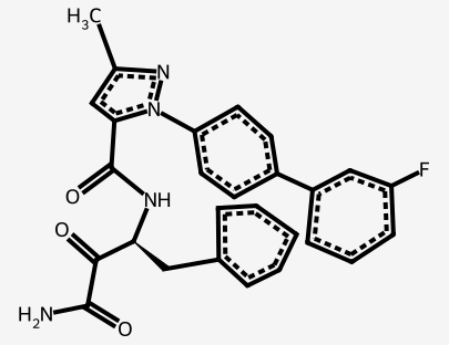 Cc1cc(C(=O)N[C@@H](Cc2ccccc2)C(=O)C(N)=O)n(-c2ccc(-c3cccc(F)c3)cc2)n1